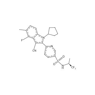 Cc1ccc2c(c1F)c(C#N)c(-c1ccc(S(=O)(=O)N[C@@H](C)C(F)(F)F)cn1)n2C1CCCC1